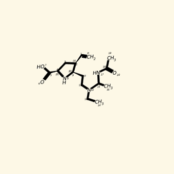 C=C[C@@H]1C[C@H](C(=O)O)N[C@@H]1CCN(CC)C(C)NC(C)=O